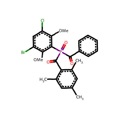 COc1c(Cl)cc(Br)c(OC)c1P(=O)(C(=O)c1ccccc1)C(=O)c1c(C)cc(C)cc1C